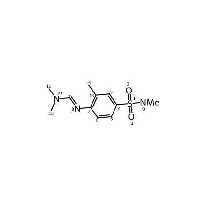 CNS(=O)(=O)c1ccc(N=CN(C)C)c(C)c1